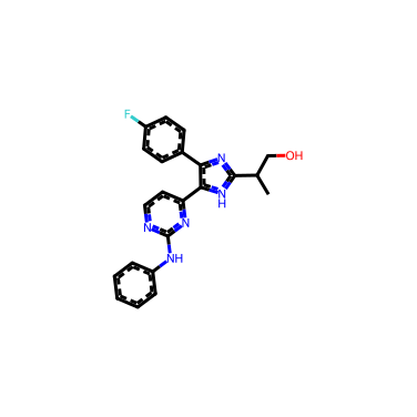 CC(CO)c1nc(-c2ccc(F)cc2)c(-c2ccnc(Nc3ccccc3)n2)[nH]1